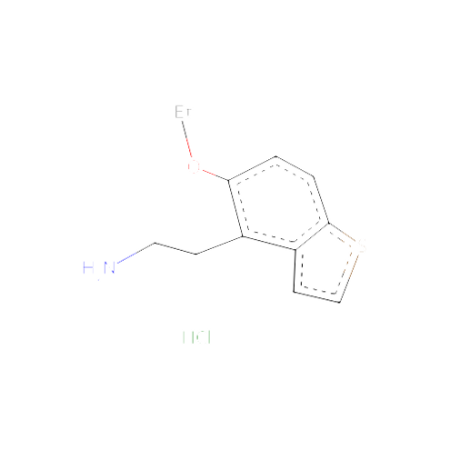 CCOc1ccc2sccc2c1CCN.Cl